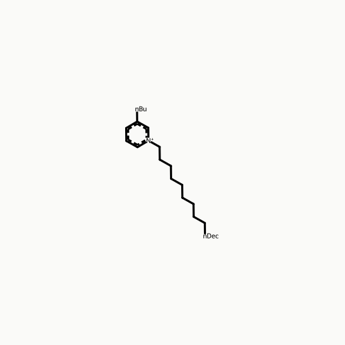 CCCCCCCCCCCCCCCCCCC[n+]1cccc(CCCC)c1